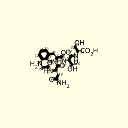 C[C@@H](O)[C@H](NC(=O)[C@H](Cc1ccccc1)NC(=O)[C@H](CC(N)=O)NC(=O)CN)C(=O)N[C@@H](CO)C(=O)O